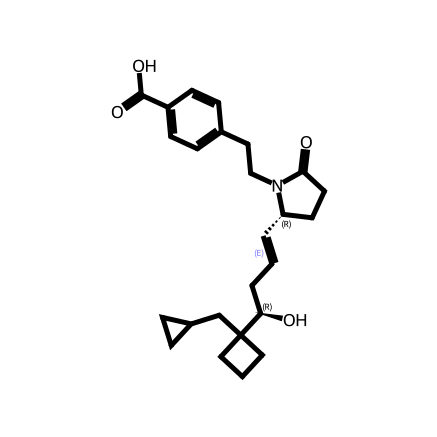 O=C(O)c1ccc(CCN2C(=O)CC[C@@H]2/C=C/C[C@@H](O)C2(CC3CC3)CCC2)cc1